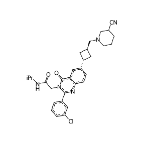 CC(C)NC(=O)Cn1c(-c2cccc(Cl)c2)nc2ccc([C@H]3C[C@H](CN4CCCC(C#N)C4)C3)cc2c1=O